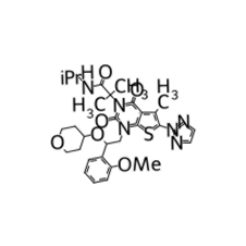 COc1ccccc1C(Cn1c(=O)n(C(C)(C)C(=O)NC(C)C)c(=O)c2c(C)c(-n3nccn3)sc21)OC1CCOCC1